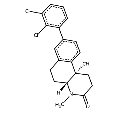 CN1C(=O)CC[C@]2(C)c3ccc(-c4cccc(Cl)c4Cl)cc3CC[C@@H]12